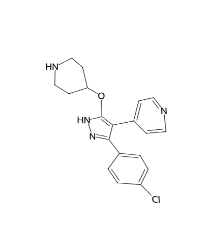 Clc1ccc(-c2n[nH]c(OC3CCNCC3)c2-c2ccncc2)cc1